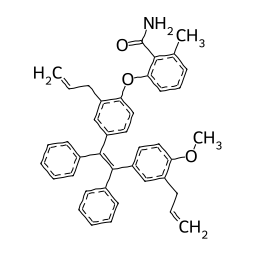 C=CCc1cc(/C(=C(/c2ccccc2)c2ccc(Oc3cccc(C)c3C(N)=O)c(CC=C)c2)c2ccccc2)ccc1OC